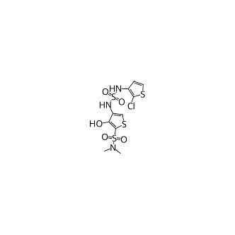 CN(C)S(=O)(=O)c1scc(NS(=O)(=O)Nc2ccsc2Cl)c1O